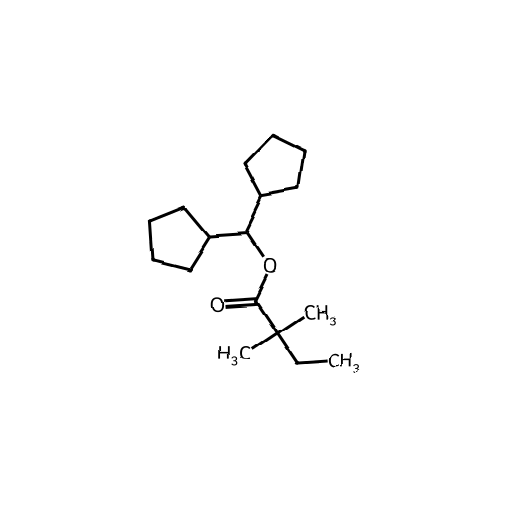 CCC(C)(C)C(=O)OC(C1CCCC1)C1CCCC1